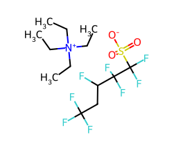 CC[N+](CC)(CC)CC.O=S(=O)([O-])C(F)(F)C(F)(F)C(F)CC(F)(F)F